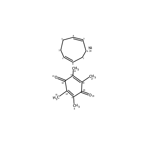 C1=C\CC/C=C\CC/1.CC1=C(C)C(=O)C(C)=C(C)C1=O.[Ni]